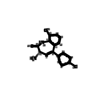 N[C@H]1N=C(c2ccc(Cl)cc2)c2cccc(Cl)c2NC1=O